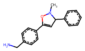 CN1OC(c2ccc(CN)cc2)=CC1c1ccccc1